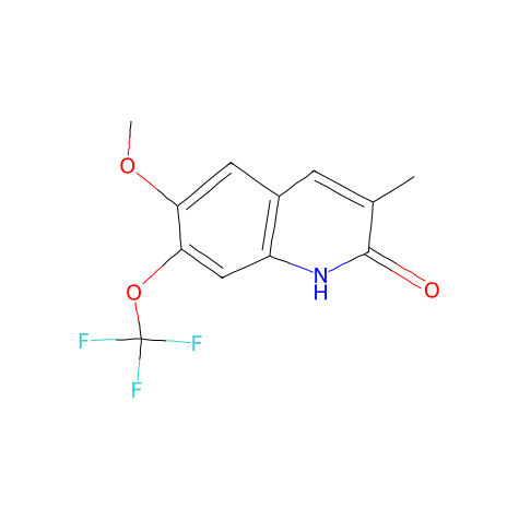 COc1cc2cc(C)c(=O)[nH]c2cc1OC(F)(F)F